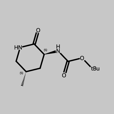 C[C@@H]1CNC(=O)[C@@H](NC(=O)OC(C)(C)C)C1